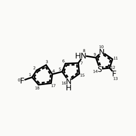 Fc1ccc(-c2cc(Nc3ncc(F)s3)c[nH]2)cc1